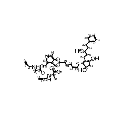 C#CCNC(C)C(=O)OCc1cnc(C)c(OC(=O)CCC/C=C\C[C@@H]2[C@@H](CC[C@@H](O)CCc3ccccc3)[C@H](O)C[C@@H]2O)c1COC(=O)C(C)NCC#C